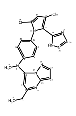 CCc1cc(N(C)c2ccc(-n3c(Cl)cc(Cl)c3-c3nnn[nH]3)cc2)n2nccc2n1